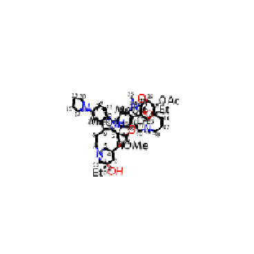 CC[C@]1(O)C[C@H]2CN(CCc3c([nH]c4ccc(N5CCCC5)cc34)[C@@](C(=O)OC)(C3C=C4C(=CC3OC)N(C)[C@@]35O[C@]3(C(=O)OC)[C@H](OC(C)=O)[C@]3(CC)C=CCN6CC[C@]45[C@@H]63)C2)C1